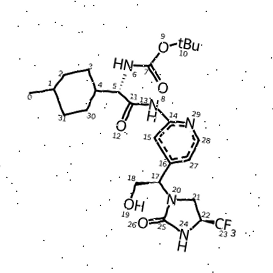 CC1CCC([C@H](NC(=O)OC(C)(C)C)C(=O)Nc2cc([C@H](CO)N3C[C@@H](C(F)(F)F)NC3=O)ccn2)CC1